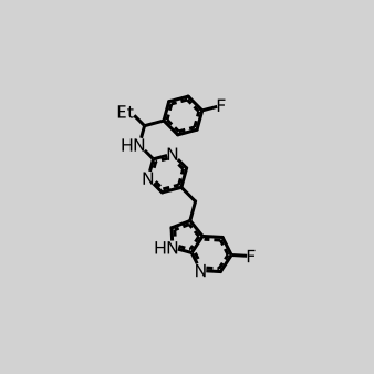 CCC(Nc1ncc(Cc2c[nH]c3ncc(F)cc23)cn1)c1ccc(F)cc1